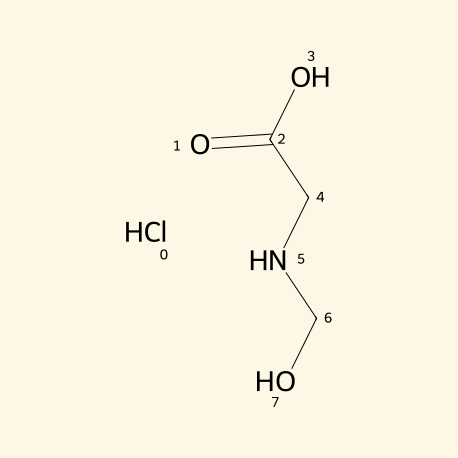 Cl.O=C(O)CNCO